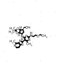 CCOCCNc1nc(C)c(-c2nc3c(C)nccc3s2)c(N[C@@H]2C[C@H](CO)[C@H]3OC(C)(C)O[C@H]32)n1